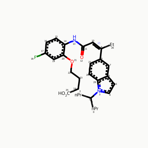 CCCC(CCC)n1ccc2cc(/C(=C\C(=O)Nc3ccc(F)cc3OCCCC(=O)O)CC)ccc21